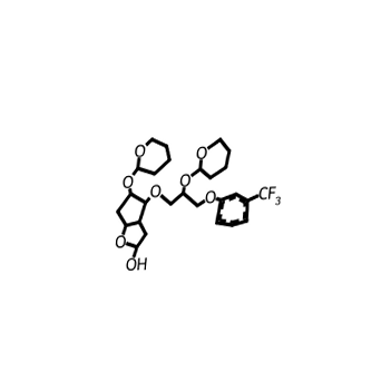 OC1CC2C(CC(OC3CCCCO3)C2OCC(COc2cccc(C(F)(F)F)c2)OC2CCCCO2)O1